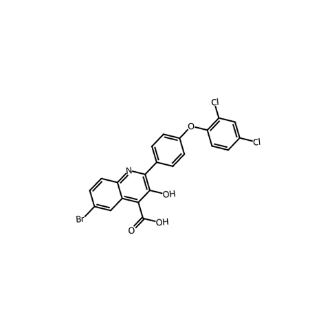 O=C(O)c1c(O)c(-c2ccc(Oc3ccc(Cl)cc3Cl)cc2)nc2ccc(Br)cc12